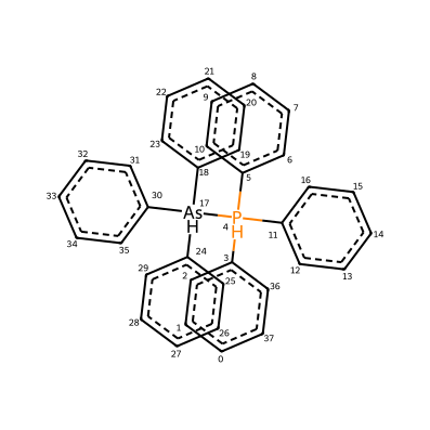 c1ccc([PH](c2ccccc2)(c2ccccc2)[AsH](c2ccccc2)(c2ccccc2)c2ccccc2)cc1